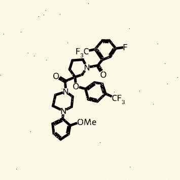 COc1ccccc1N1CCN(C(=O)C2(Oc3ccc(C(F)(F)F)cc3)CCCN(C(=O)c3cc(F)ccc3C(F)(F)F)C2)CC1